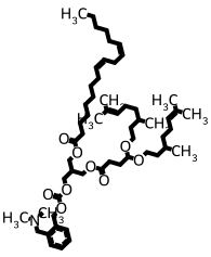 CCCCC/C=C\C/C=C\CCCCCCCC(=O)OCC(COC(=O)CCC(OCCC(C)CCC=C(C)C)OCCC(C)CCC=C(C)C)COC(=O)OCc1ccccc1CN(C)C